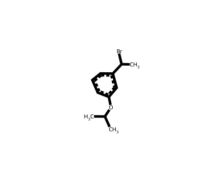 CC(C)Oc1cccc(C(C)Br)c1